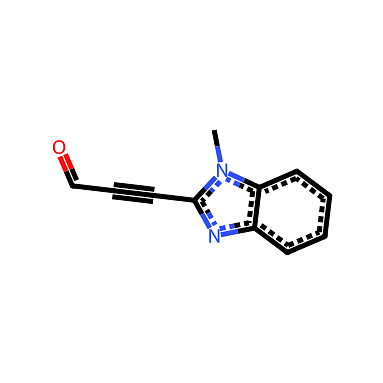 Cn1c(C#CC=O)nc2ccccc21